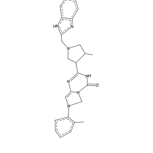 Cc1ccccc1N1C=C2N=C(C3CN(Cc4nc5ccccc5[nH]4)CC3C)NC(=O)N2C1